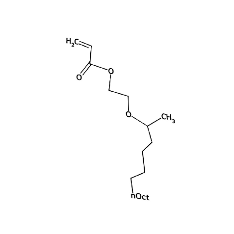 C=CC(=O)OCCOC(C)CCCCCCCCCCCC